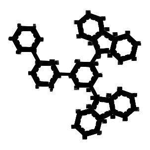 c1ccc(-c2ccnc(-c3cc(-n4c5ccccc5c5ccccc54)cc(-n4c5ccccc5c5ccccc54)c3)n2)cc1